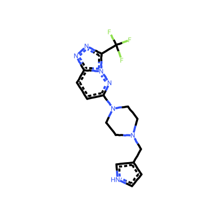 FC(F)(F)c1nnc2ccc(N3CCN(Cc4cc[nH]c4)CC3)nn12